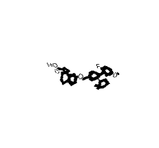 COc1ccc(F)c(-c2ccc(COc3ccc4c(c3)C3(CCC4)CCC3C(=O)O)cc2[C@@H]2CCCC2(C)C)c1